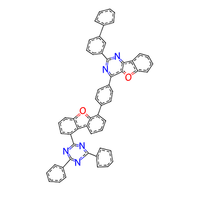 c1ccc(-c2cccc(-c3nc(-c4ccc(-c5cccc6c5oc5cccc(-c7nc(-c8ccccc8)nc(-c8ccccc8)n7)c56)cc4)c4oc5ccccc5c4n3)c2)cc1